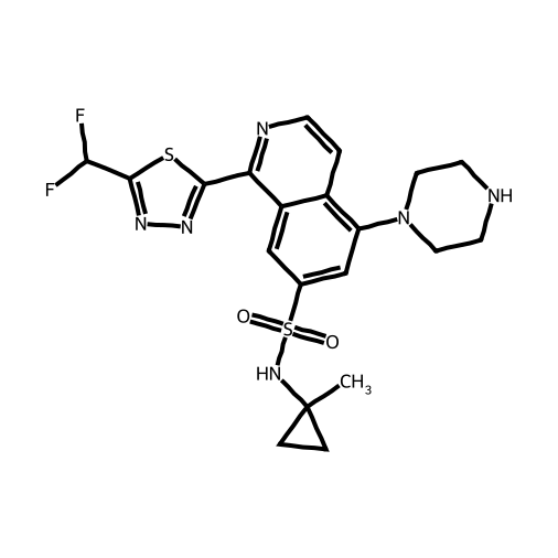 CC1(NS(=O)(=O)c2cc(N3CCNCC3)c3ccnc(-c4nnc(C(F)F)s4)c3c2)CC1